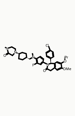 COc1cc2c(cc1OC(C)C)[C@H](c1ccc(Cl)cc1)N(c1ccc(N(C)C[C@H]3CC[C@H](N4CCN(C)C(=O)C4)CC3)c(F)c1)C(=O)C2